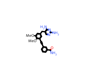 COc1cc(Cc2cnc(N)nc2N)cc(C#Cc2cccc(C(N)=O)c2)c1OC